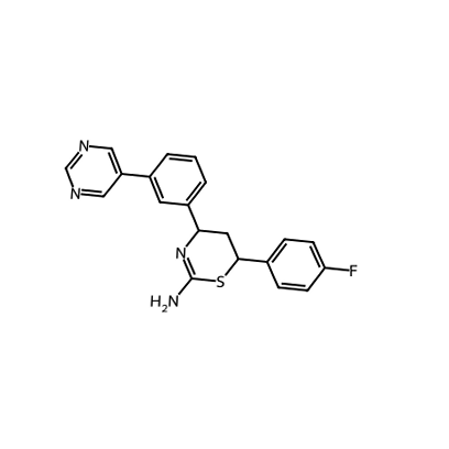 NC1=NC(c2cccc(-c3cncnc3)c2)CC(c2ccc(F)cc2)S1